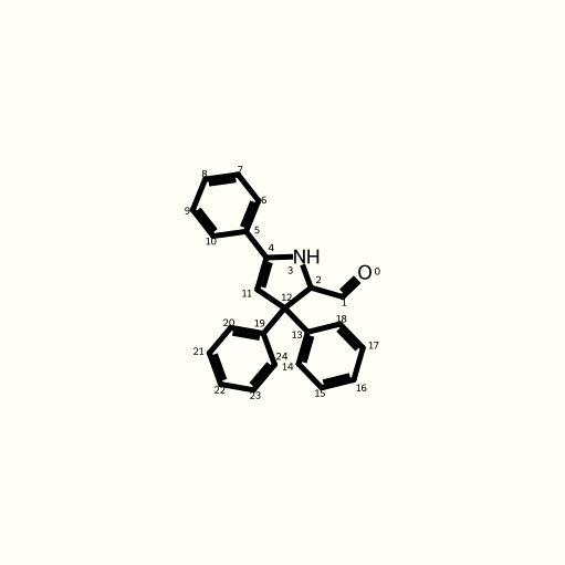 O=CC1NC(c2ccccc2)=CC1(c1ccccc1)c1ccccc1